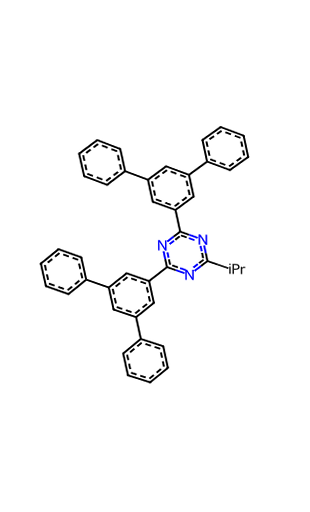 CC(C)c1nc(-c2cc(-c3ccccc3)cc(-c3ccccc3)c2)nc(-c2cc(-c3ccccc3)cc(-c3ccccc3)c2)n1